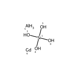 O[Si](O)(O)O.[AlH3].[Gd]